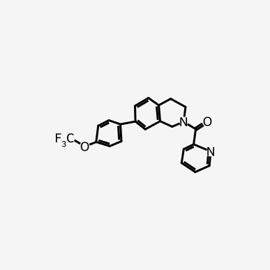 O=C(c1ccccn1)N1CCc2ccc(-c3ccc(OC(F)(F)F)cc3)cc2C1